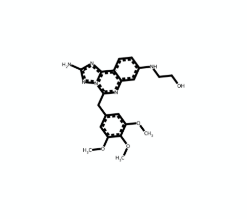 COc1cc(Cc2nc3cc(NCCO)ccc3c3nc(N)nn23)cc(OC)c1OC